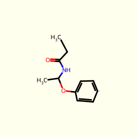 CCC(=O)NC(C)Oc1cc[c]cc1